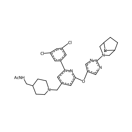 CC(=O)NCC1CCN(Cc2cc(Oc3cnc(N4CC5CCC(C4)N5C)nc3)nc(-c3cc(Cl)cc(Cl)c3)c2)CC1